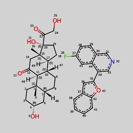 C[C@]12CC[C@@H](O)C[C@H]1CC[C@@H]1[C@@H]2C(=O)C[C@@]2(C)[C@H]1CC[C@]2(O)C(=O)CO.Fc1ccc2cncc(-c3cc4ccccc4o3)c2c1